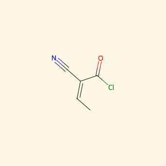 CC=C(C#N)C(=O)Cl